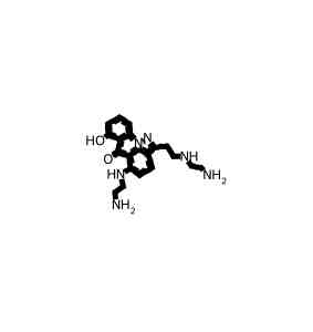 NCCNCCc1nn2c3cccc(O)c3c(=O)c3c(NCCN)ccc1c32